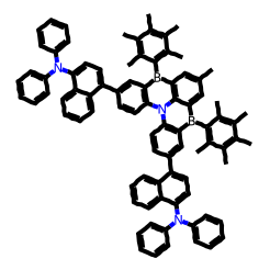 Cc1cc2c3c(c1)B(c1c(C)c(C)c(C)c(C)c1C)c1cc(-c4ccc(N(c5ccccc5)c5ccccc5)c5ccccc45)ccc1N3c1ccc(-c3ccc(N(c4ccccc4)c4ccccc4)c4ccccc34)cc1B2c1c(C)c(C)c(C)c(C)c1C